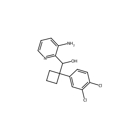 Nc1cccnc1C(O)C1(c2ccc(Cl)c(Cl)c2)CCC1